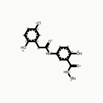 CC(C)(C)NC(=O)c1cc(NC(=O)Cc2cc(Cl)ccc2O)ccc1O